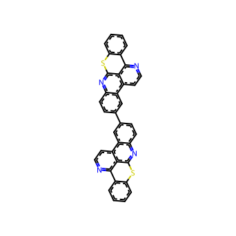 c1ccc2c(c1)Sc1nc3ccc(-c4ccc5nc6c7c(nccc7c5c4)-c4ccccc4S6)cc3c3ccnc-2c13